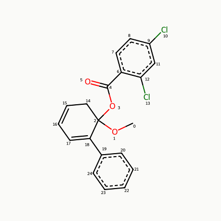 COC1(OC(=O)c2ccc(Cl)cc2Cl)CC=CC=C1c1ccccc1